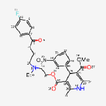 CCN(CCCC(=O)c1ccc(F)cc1)CCOC(=O)C1=C(C)NC(C)=C(C(=O)OC)C1c1cccc([N+](=O)[O-])c1